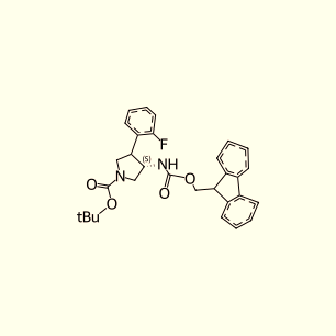 CC(C)(C)OC(=O)N1CC(c2ccccc2F)[C@H](NC(=O)OCC2c3ccccc3-c3ccccc32)C1